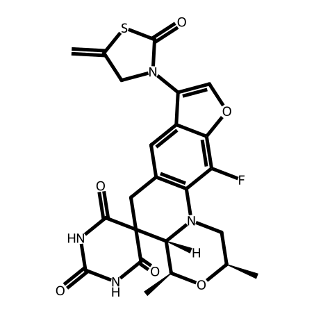 C=C1CN(c2coc3c(F)c4c(cc23)CC2(C(=O)NC(=O)NC2=O)[C@H]2[C@H](C)O[C@H](C)CN42)C(=O)S1